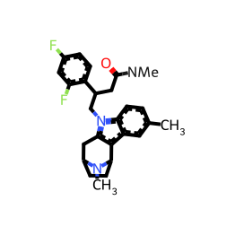 CNC(=O)CC(Cn1c2c(c3cc(C)ccc31)C1CCC(C2)N1C)c1ccc(F)cc1F